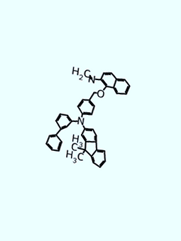 C=Nc1ccc2ccccc2c1OCc1ccc(N(c2cccc(-c3ccccc3)c2)c2ccc3c(c2)C(C)(C)c2ccccc2-3)cc1